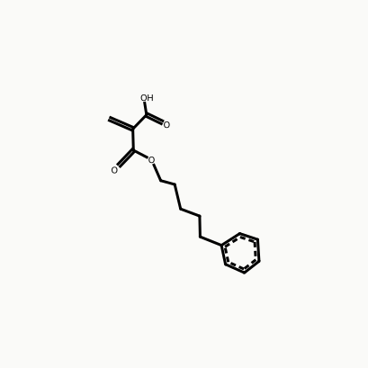 C=C(C(=O)O)C(=O)OCCCCCc1ccccc1